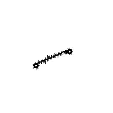 c1ccc(CNCCCCCCNCCCCCCNCc2ccccc2)cc1